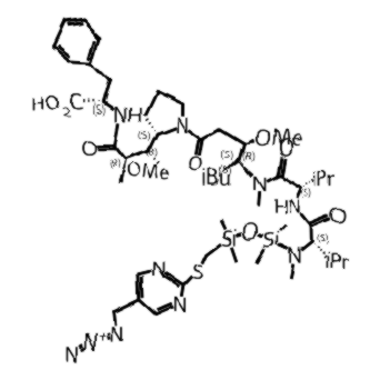 CC[C@H](C)[C@@H]([C@@H](CC(=O)N1CCC[C@H]1[C@H](OC)[C@@H](C)C(=O)N[C@@H](Cc1ccccc1)C(=O)O)OC)N(C)C(=O)[C@@H](NC(=O)[C@H](C(C)C)N(C)[Si](C)(C)O[Si](C)(C)CSc1ncc(CN=[N+]=[N-])cn1)C(C)C